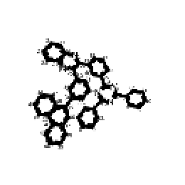 c1ccc(-c2nc(-c3ccccc3)nc(-c3cccc(-c4nc5ccccc5nc4-c4cccc(-c5cc6ccccc6c6ccccc56)c4)c3)n2)cc1